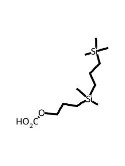 C[Si](C)(C)CCC[Si](C)(C)CCCOC(=O)O